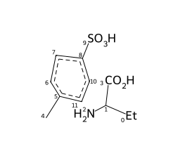 CCC(N)C(=O)O.Cc1ccc(S(=O)(=O)O)cc1